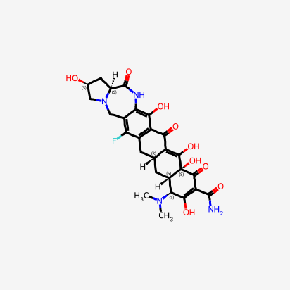 CN(C)[C@@H]1C(O)=C(C(N)=O)C(=O)[C@@]2(O)C(O)=C3C(=O)c4c(O)c5c(c(F)c4C[C@H]3C[C@@H]12)CN1C[C@@H](O)C[C@H]1C(=O)N5